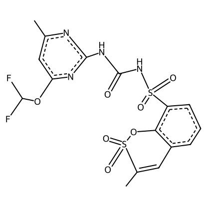 CC1=Cc2cccc(S(=O)(=O)NC(=O)Nc3nc(C)cc(OC(F)F)n3)c2OS1(=O)=O